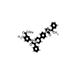 COC(=O)c1cc(NC(=O)C(c2ccccc2)N2CCC(c3ccc(-n4cnn(C(C)c5ccccc5)c4=O)cc3)CC2)ccc1C